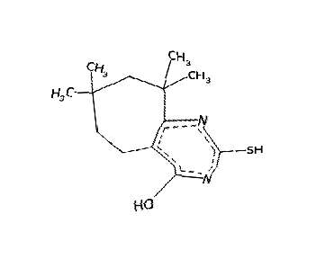 CC1(C)CCc2c(O)nc(S)nc2C(C)(C)C1